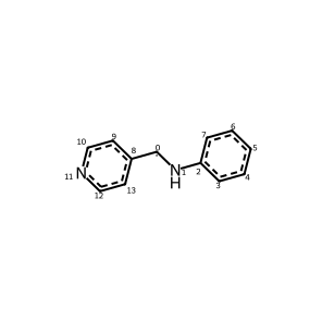 [CH](Nc1ccccc1)c1ccncc1